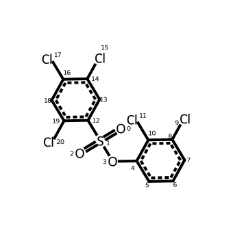 O=S(=O)(Oc1cccc(Cl)c1Cl)c1cc(Cl)c(Cl)cc1Cl